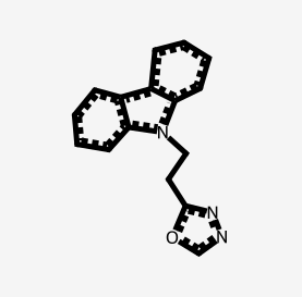 c1ccc2c(c1)c1ccccc1n2CCc1nnco1